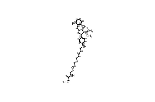 C=CC(=O)NCCOCCOCCOCCNc1ccc([C@H]2CN(Cc3c(C)cccc3F)C[C@@H]2N(C)C)cc1